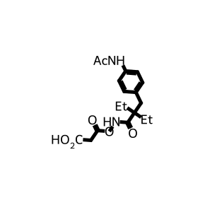 CCC(CC)(Cc1ccc(NC(C)=O)cc1)C(=O)NOC(=O)CC(=O)O